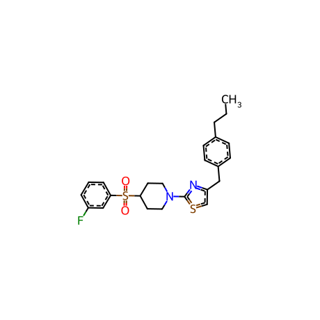 CCCc1ccc(Cc2csc(N3CCC(S(=O)(=O)c4cccc(F)c4)CC3)n2)cc1